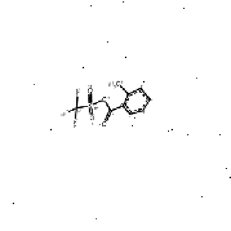 Cc1ccccc1C(=O)OS(=O)(=O)C(F)(F)F